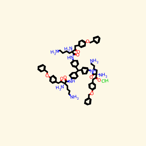 Cl.NCCCC[C@@](N)(C(=O)Cc1ccc(OCc2ccccc2)cc1)C(=O)Nc1ccc(C(c2ccc(NC(=O)[C@@](N)(CCCCN)C(=O)Cc3ccc(OCc4ccccc4)cc3)cc2)c2ccc(NC(=O)[C@@](N)(CCCCN)C(=O)Cc3ccc(OCc4ccccc4)cc3)cc2)cc1